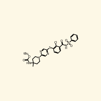 CC1(NC(=O)OC(C)(C)C)CCN(c2cnc(Sc3cccc(C(=O)NS(=O)(=O)c4ccccc4)c3Cl)cn2)CC1